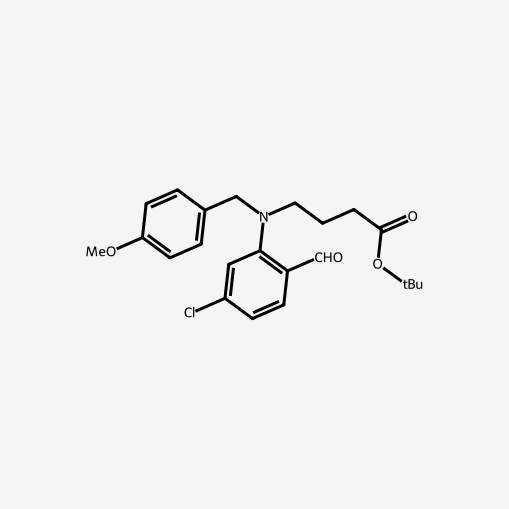 COc1ccc(CN(CCCC(=O)OC(C)(C)C)c2cc(Cl)ccc2C=O)cc1